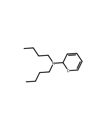 CCCCN(CCCC)[C]1C=CC=CO1